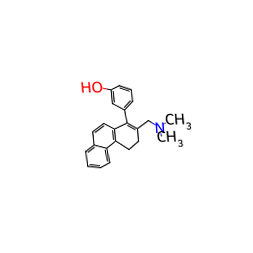 CN(C)CC1=C(c2cccc(O)c2)c2ccc3ccccc3c2CC1